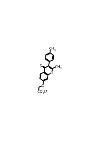 CCOC(=O)COc1ccc2c(=O)c(-c3ccc(C)cc3)c(C)oc2c1